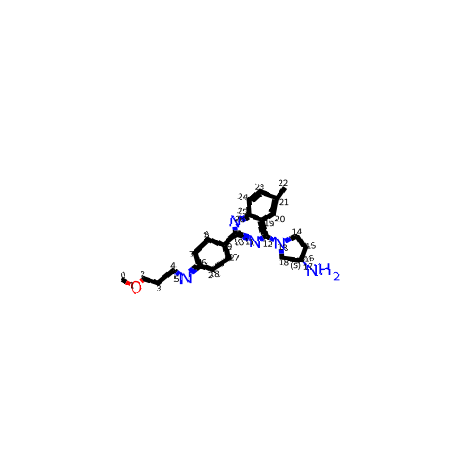 COCCCN=C1CCC(c2nc(N3CC[C@H](N)C3)c3cc(C)ccc3n2)CC1